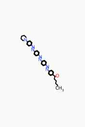 CCCCCC(=O)c1ccc(N=Nc2ccc(N=Nc3ccc(N=Nc4ccc(N5CCCCC5)cc4)cc3)cc2)cc1